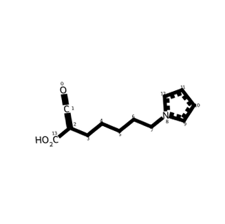 O=C=C(CCCCCn1cccc1)C(=O)O